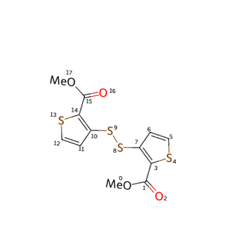 COC(=O)c1sccc1SSc1ccsc1C(=O)OC